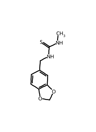 CNC(=S)NCc1ccc2c(c1)OCO2